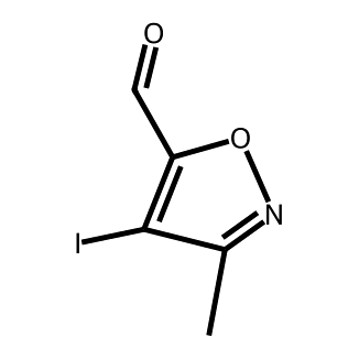 Cc1noc(C=O)c1I